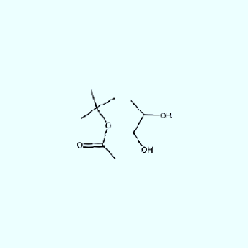 CC(=O)OC(C)(C)C.CC(O)CO